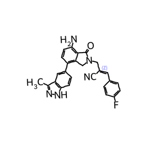 Cc1n[nH]c2ccc(-c3ccc(N)c4c3CN(C/C(C#N)=C/c3ccc(F)cc3)C4=O)cc12